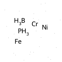 B.P.[Cr].[Fe].[Ni]